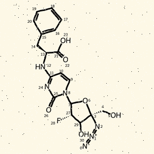 [N-]=[N+]=N[C@]1(CO)OC(n2ccc(N[C@@H](Cc3ccccc3)C(=O)O)nc2=O)[C@@H](F)C1O